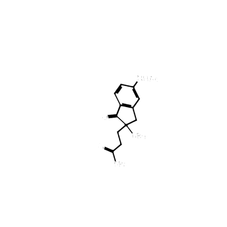 CCCCC1(CCC(=O)CCC)Cc2cc(NC(C)=O)ccc2C1=O